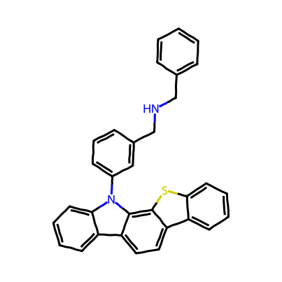 c1ccc(CNCc2cccc(-n3c4ccccc4c4ccc5c6ccccc6sc5c43)c2)cc1